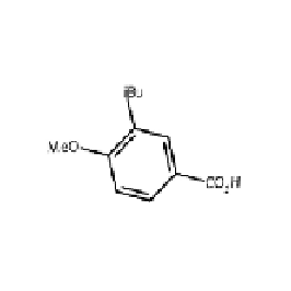 CCC(C)c1cc(C(=O)O)ccc1OC